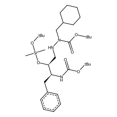 CC(C)(C)OC(=O)N[C@@H](Cc1ccccc1)[C@H](CNN(CC1CCCCC1)C(=O)OC(C)(C)C)O[Si](C)(C)OC(C)(C)C